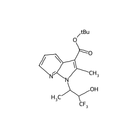 Cc1c(C(=O)OC(C)(C)C)c2cccnc2n1C(C)C(O)C(F)(F)F